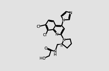 O=C(CO)NC[C@@H]1CCCN1c1cc(-n2ccnc2)c2ccc(Cl)c(Cl)c2n1